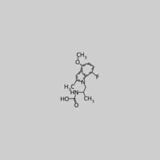 COc1ccc(F)c2c1cc(C)n2CC(C)NC(=O)O